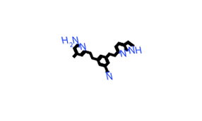 Cc1cc(N)nc(CCc2cc(C#N)cc(CCc3ccc4cc[nH]c4n3)c2)c1